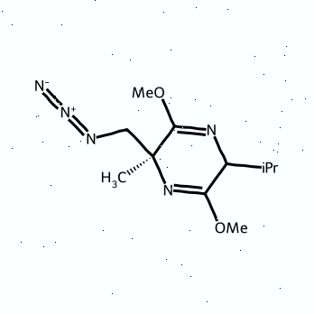 COC1=N[C@@](C)(CN=[N+]=[N-])C(OC)=NC1C(C)C